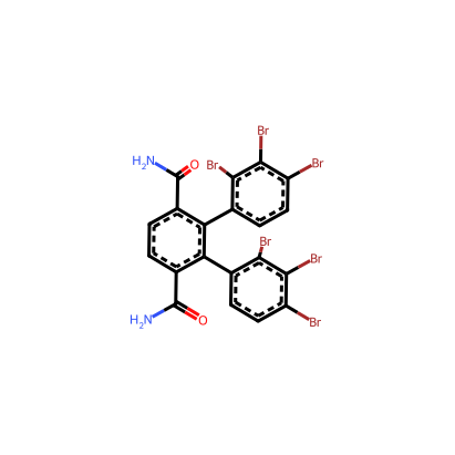 NC(=O)c1ccc(C(N)=O)c(-c2ccc(Br)c(Br)c2Br)c1-c1ccc(Br)c(Br)c1Br